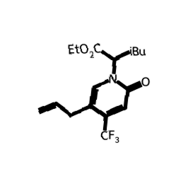 C=CCc1cn(C(C(=O)OCC)C(C)CC)c(=O)cc1C(F)(F)F